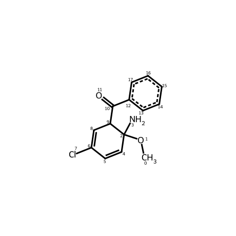 COC1(N)C=CC(Cl)=CC1C(=O)c1ccccc1